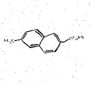 Cc1ccc2cc(C(=O)O)cnc2c1